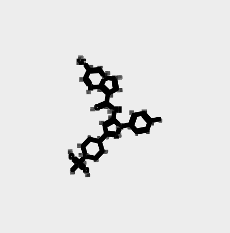 Cc1ccc(-n2nc(C3CCN(S(C)(=O)=O)CC3)cc2NC(=O)c2cnn3cc(C#N)cnc23)cc1